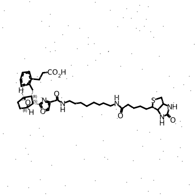 O=C(O)CCc1ccccc1C[C@@H]1[C@H](c2nc(C(=O)NCCCCCCCCNC(=O)CCCCC3SCC4NC(=O)NC43)co2)[C@H]2CC[C@@H]1O2